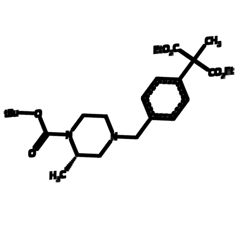 CCOC(=O)C(C)(C(=O)OCC)c1ccc(CN2CCN(C(=O)OC(C)(C)C)[C@@H](C)C2)cc1